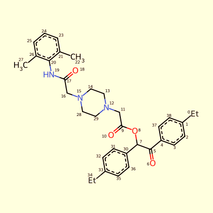 CCc1ccc(C(=O)C(OC(=O)CN2CCN(CC(=O)Nc3c(C)cccc3C)CC2)c2ccc(CC)cc2)cc1